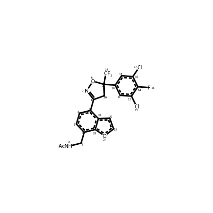 CC(=O)NCc1ccc(C2=NOC(c3cc(Cl)c(F)c(Cl)c3)(C(F)(F)F)C2)c2ccoc12